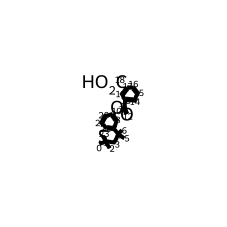 CC1(C)CC(C)(C)c2cc(OC(=O)c3cccc(C(=O)O)c3)ccc2S1